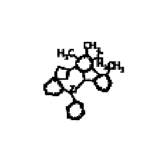 Cc1cccc2c1-c1c(C)c(C)c(C)c(C3=CC=CC3)c1[CH]2[Zr]=[C](c1ccccc1)c1ccccc1